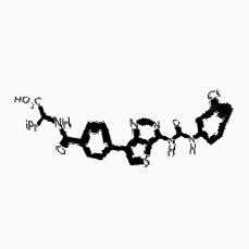 CC(C)[C@H](NC(=O)c1ccc(-c2csc3c(NC(=O)Nc4cccc(Cl)c4)ncnc23)cc1)C(=O)O